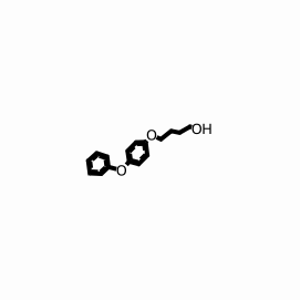 OCCCCOc1ccc(Oc2ccccc2)cc1